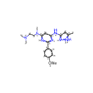 COc1ccc(-c2nc(Nc3cc(C)[nH]n3)cc(N(C)CCN(C)C)n2)cc1